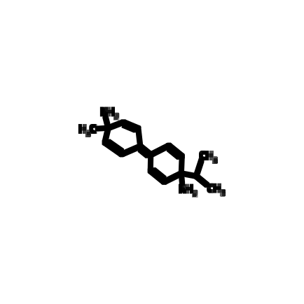 CC(C)C1(N)C=CC(=C2C=CC(C)(N)C=C2)C=C1